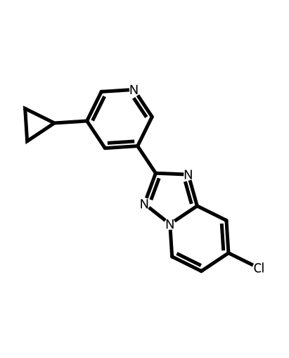 Clc1ccn2nc(-c3cncc(C4CC4)c3)nc2c1